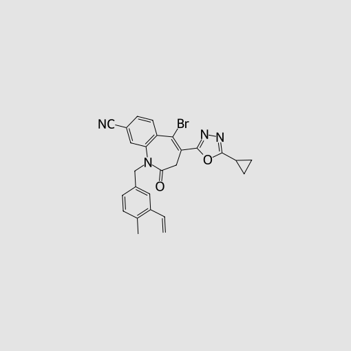 C=Cc1cc(CN2C(=O)CC(c3nnc(C4CC4)o3)=C(Br)c3ccc(C#N)cc32)ccc1C